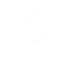 O=C(NCC1CC1)c1ccc(B(O)O)cc1